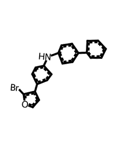 Brc1occc1-c1ccc(Nc2ccc(-c3ccccc3)cc2)cc1